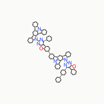 c1ccc(-c2ccc(-c3nc(-n4c5ccccc5c5cc6c7cc(-c8ccc9c(c8)oc8nc(-n%10c%11ccccc%11c%11cc%12c%13ccccc%13n%13c%14ccccc%14c(c%11%10)c%12%13)nc(-c%10ccccc%10)c89)ccc7n7c8ccccc8c(c54)c67)nc4oc5ccccc5c34)cc2)cc1